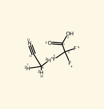 O=C(O)C(F)(F)F.[2H]C([2H])([2H])C#N